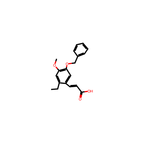 CCc1cc(OC)c(OCc2ccccc2)cc1/C=C/C(=O)O